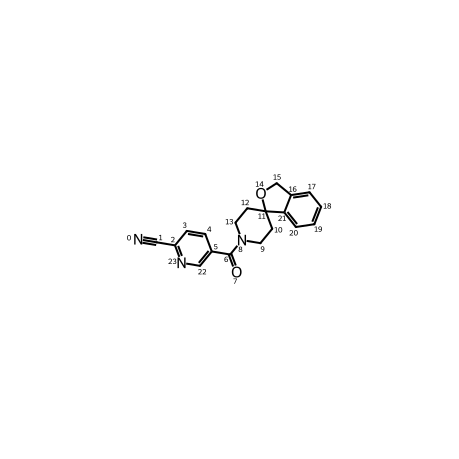 N#Cc1ccc(C(=O)N2CCC3(CC2)OCc2ccccc23)cn1